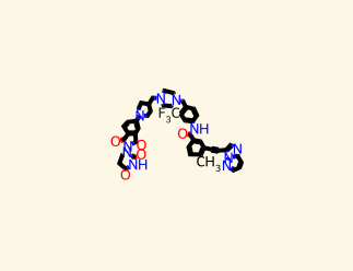 Cc1ccc(C(=O)Nc2ccc(CN3CCN(CC4CCN(c5ccc6c(c5)C(=O)N(N5CCC(=O)NC5=O)C6=O)CC4)CC3)c(C(F)(F)F)c2)cc1C#Cc1cnc2cccnn12